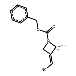 C[C@@H]1C(=CC#N)CN1C(=O)OCc1ccccc1